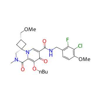 CCCCOc1c2n(cc(C(=O)NCc3ccc(OC)c(Cl)c3F)c1=O)[C@]1(CN(C)C2=O)C[C@@H](COC)C1